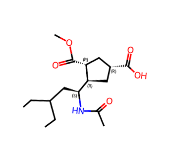 CCC(CC)C[C@H](NC(C)=O)[C@@H]1C[C@@H](C(=O)O)C[C@H]1C(=O)OC